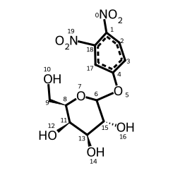 O=[N+]([O-])c1ccc(OC2O[C@H](CO)[C@H](O)[C@H](O)[C@H]2O)cc1[N+](=O)[O-]